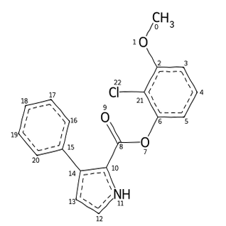 COc1cccc(OC(=O)c2[nH]ccc2-c2ccccc2)c1Cl